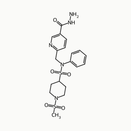 CS(=O)(=O)N1CCC(S(=O)(=O)N(Cc2ccc(C(=O)NN)cn2)c2ccccc2)CC1